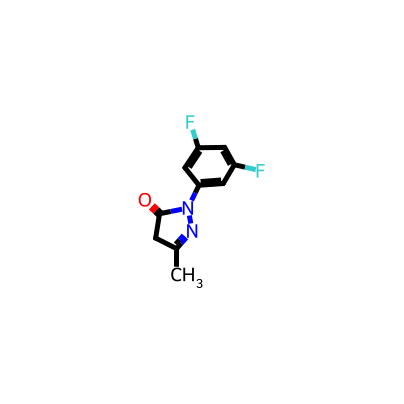 CC1=NN(c2cc(F)cc(F)c2)C(=O)C1